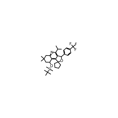 CC(C)c1nc2c(c3c1C(c1ccc(C(F)(F)F)cc1)OC31CCCC1)C(O[Si](C)(C)C(C)(C)C)CC(C)(C)C2